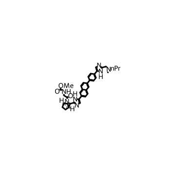 CCCN(C)Cc1ncc(-c2ccc(-c3ccc4cc(-c5cnc(C6[C@H]7CC[C@H](C7)N6C(=O)CNC(=O)OC)[nH]5)ccc4c3)cc2)[nH]1